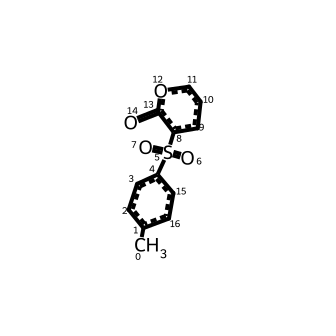 Cc1ccc(S(=O)(=O)c2cccoc2=O)cc1